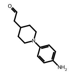 Nc1ccc(N2CCC(CC=O)CC2)cc1